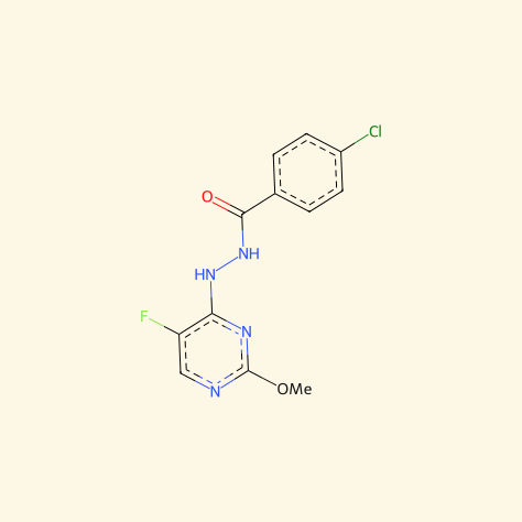 COc1ncc(F)c(NNC(=O)c2ccc(Cl)cc2)n1